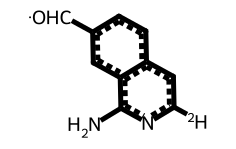 [2H]c1cc2ccc([C]=O)cc2c(N)n1